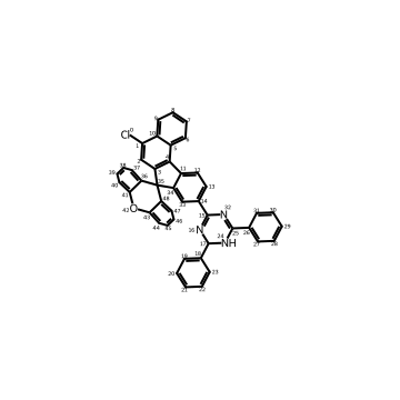 Clc1cc2c(c3ccccc13)-c1ccc(C3=NC(c4ccccc4)NC(c4ccccc4)=N3)cc1C21c2ccccc2Oc2ccccc21